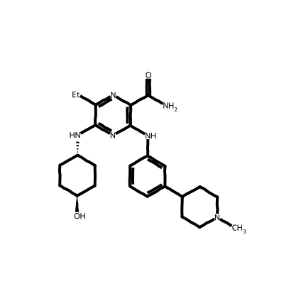 CCc1nc(C(N)=O)c(Nc2cccc(C3CCN(C)CC3)c2)nc1N[C@H]1CC[C@H](O)CC1